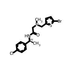 C[C@H](NC(=O)CN(C)Cc1ccc(Br)s1)c1ccc(Cl)cc1